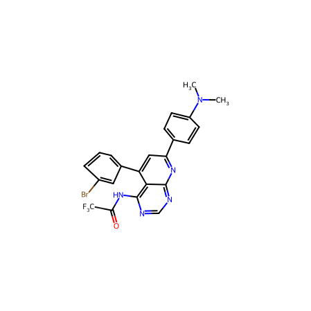 CN(C)c1ccc(-c2cc(-c3cccc(Br)c3)c3c(NC(=O)C(F)(F)F)ncnc3n2)cc1